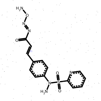 NON=NC(=O)/C=C/c1ccc(N(N)S(=O)(=O)c2ccccn2)cc1